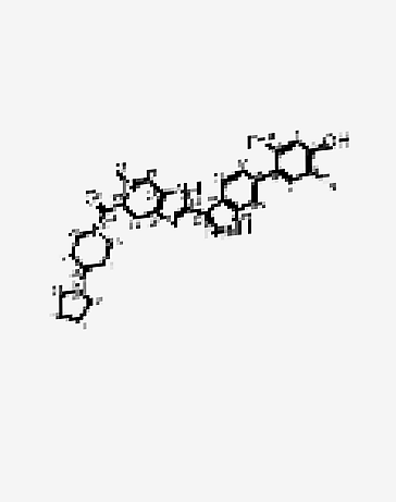 CCc1cc(O)c(F)cc1-c1ccc2c(-c3nc4c([nH]3)CN(C)C(C(=O)N3CCC(N5CCCC5)CC3)C4)n[nH]c2c1